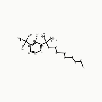 [2H][C@@](N)(CCCCCCCCC)c1cccc(C(F)(F)F)c1F